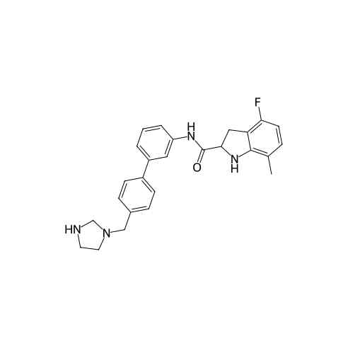 Cc1ccc(F)c2c1NC(C(=O)Nc1cccc(-c3ccc(CN4CCNC4)cc3)c1)C2